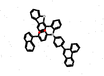 c1ccc(N(c2ccc(-c3cccc4ccccc34)cc2)c2ccc(-c3cc4ccccc4c4ccccc34)cc2)c(-c2cccc3c2oc2ccccc23)c1